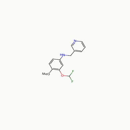 COc1ccc(NCc2cccnc2)cc1OC(F)F